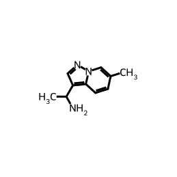 Cc1ccc2c(C(C)N)cnn2c1